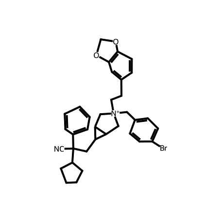 N#CC(CC1C2C[N+](CCc3ccc4c(c3)OCO4)(Cc3ccc(Br)cc3)CC12)(c1ccccc1)C1CCCC1